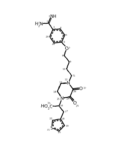 N=C(N)c1ccc(OCCCCN2CCN(C(Cc3ccsc3)C(=O)O)C(=O)C2=O)cc1